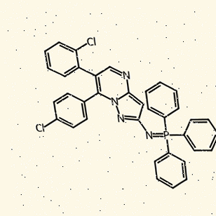 Clc1ccc(-c2c(-c3ccccc3Cl)cnc3cc(N=P(c4ccccc4)(c4ccccc4)c4ccccc4)nn23)cc1